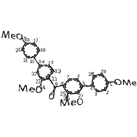 COc1ccc(-c2ccc(C(=O)c3ccc(-c4ccc(OC)cc4)cc3OC)c(OC)c2)cc1